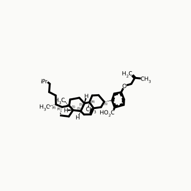 C=C(C)COc1ccc(C(=O)O)c([C@H]2CC[C@@]3(C)C(=CC[C@H]4[C@@H]5CC[C@H]([C@H](C)CCCC(C)C)[C@@]5(C)CC[C@@H]43)C2)c1